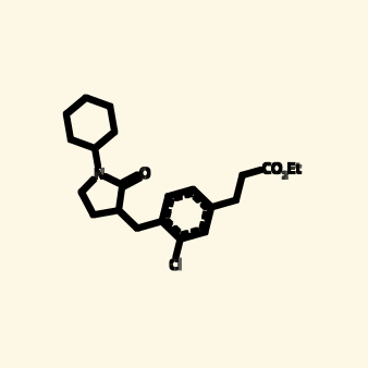 CCOC(=O)CCc1ccc(CC2CCN(C3CCCCC3)C2=O)c(Cl)c1